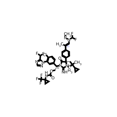 C=NN(/C=C(\C)c1ccc([C@@]2(CC(C)(C)C3CC3)NC(=N)N([C@H](COC(=O)NC3(C(F)(F)F)CC3)c3ccc(Cl)c(-n4ncnc4C(F)F)c3)C2=O)cc1)C(F)F